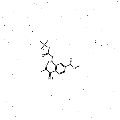 COC(=O)c1ccc(C(=N)C(C)=O)c(NCC(=O)OC(C)(C)C)c1